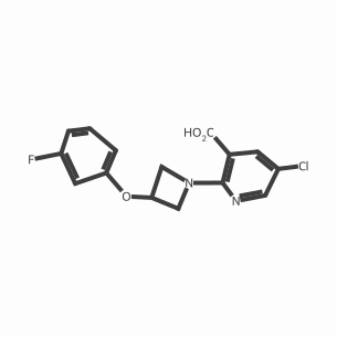 O=C(O)c1cc(Cl)cnc1N1CC(Oc2cccc(F)c2)C1